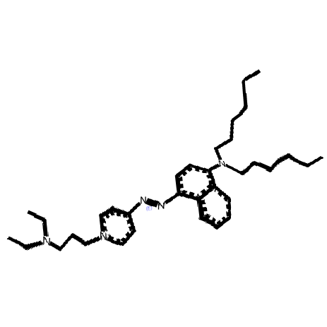 CCCCCCN(CCCCCC)c1ccc(/N=N/c2cc[n+](CCCN(CC)CC)cc2)c2ccccc12